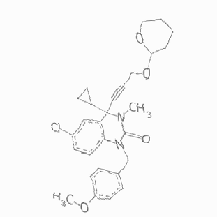 COc1ccc(CN2C(=O)N(C)C(C#CCOC3CCCCO3)(C3CC3)c3cc(Cl)ccc32)cc1